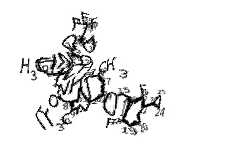 CCC(C)(CNC(=O)c1c(C)nc2c(OCc3c(F)ccc(C4CC4)c3F)cc(C)cn12)NC(=O)OC(=O)C(F)(F)F